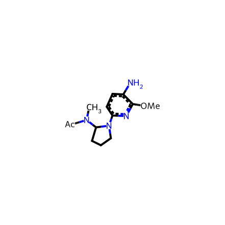 COc1nc(N2CCCC2N(C)C(C)=O)ccc1N